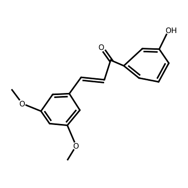 COc1cc(/C=C/C(=O)c2cccc(O)c2)cc(OC)c1